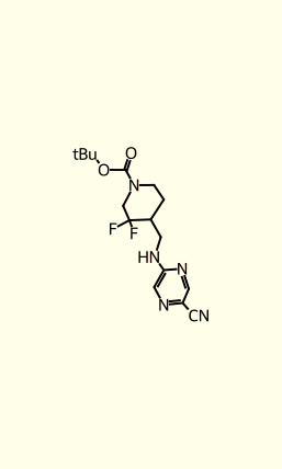 CC(C)(C)OC(=O)N1CCC(CNc2cnc(C#N)cn2)C(F)(F)C1